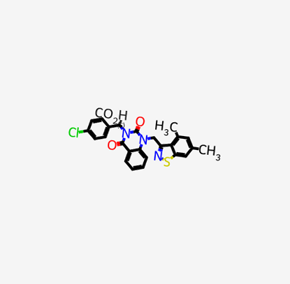 Cc1cc(C)c2c(Cn3c(=O)n([C@H](C(=O)O)c4ccc(Cl)cc4)c(=O)c4ccccc43)nsc2c1